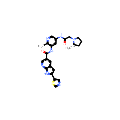 Cc1ncc(NC(=O)CN2CCC[C@@H]2C)cc1NC(=O)c1cnc2[nH]c(-c3cncs3)cc2c1